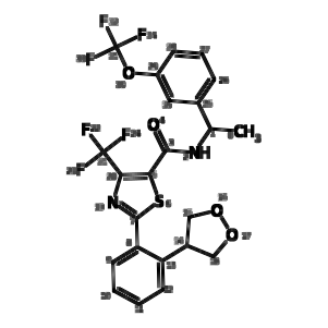 CC(NC(=O)c1sc(-c2ccccc2C2COOC2)nc1C(F)(F)F)c1cccc(OC(F)(F)F)c1